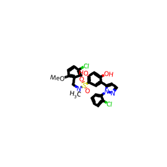 COc1ccc(Cl)cc1CN(C)S(=O)(=O)c1cc(-c2ccnn2-c2ccccc2Cl)c(O)cc1O